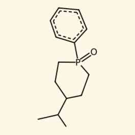 CC(C)C1CCP(=O)(c2ccccc2)CC1